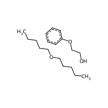 CCCCCOCCCCC.OCCOc1ccccc1